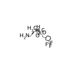 CO[C@@H](Cc1cccc(C(F)(F)F)c1)C(=O)N[C@H](C)C#CCN